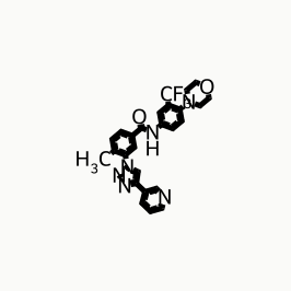 Cc1ccc(C(=O)Nc2ccc(N3CCOCC3)c(C(F)(F)F)c2)cc1-n1cc(-c2cccnc2)nn1